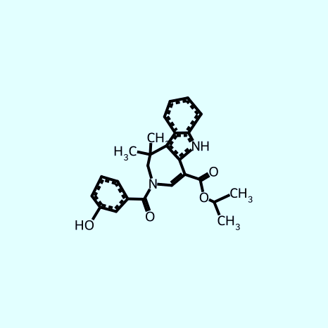 CC(C)OC(=O)C1=CN(C(=O)c2cccc(O)c2)CC(C)(C)c2c1[nH]c1ccccc21